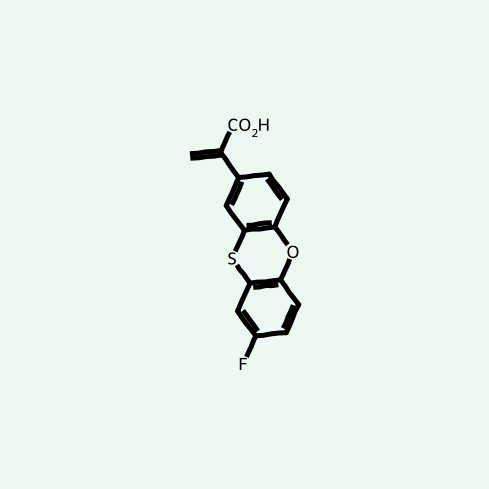 C=C(C(=O)O)c1ccc2c(c1)Sc1cc(F)ccc1O2